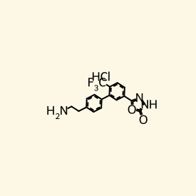 Cl.NCCc1ccc(-c2cc(-c3n[nH]c(=O)o3)ccc2C(F)(F)F)cc1